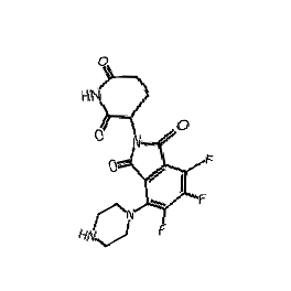 O=C1CCC(N2C(=O)c3c(F)c(F)c(F)c(N4CCNCC4)c3C2=O)C(=O)N1